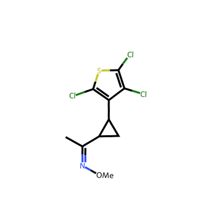 CO/N=C(/C)C1CC1c1c(Cl)sc(Cl)c1Cl